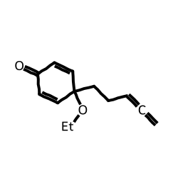 C=C=CCCC1(OCC)C=CC(=O)C=C1